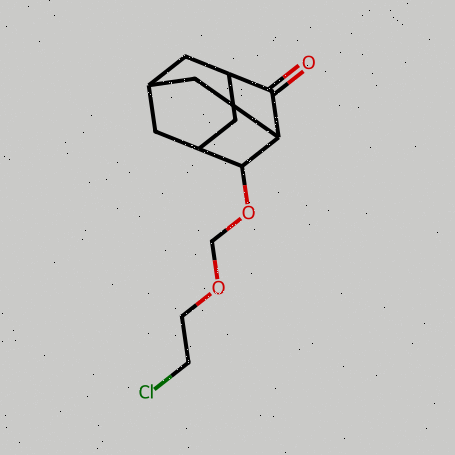 O=C1C2CC3CC(C2)C(OCOCCCl)C1C3